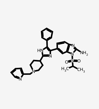 CC(C)S(=O)(=O)n1c(N)nc2ccc(-c3nc(C4CCN(Cc5ccccn5)CC4)[nH]c3-c3ccccc3)cc21